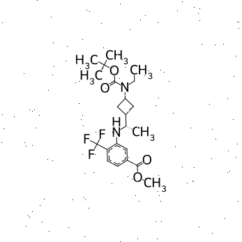 CCN(C(=O)OC(C)(C)C)C1CC([C@H](C)Nc2cc(C(=O)OC)ccc2C(F)(F)F)C1